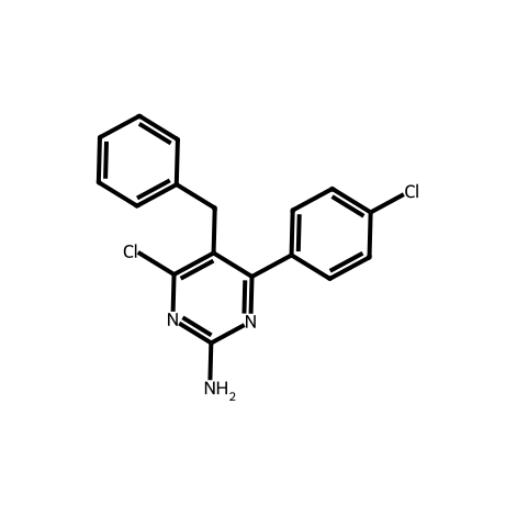 Nc1nc(Cl)c(Cc2ccccc2)c(-c2ccc(Cl)cc2)n1